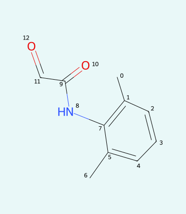 Cc1cccc(C)c1NC(=O)C=O